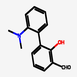 CN(C)c1ccccc1-c1cccc(C=O)c1O